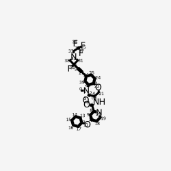 CN1C(=O)[C@H](NC(=O)c2cc(Oc3ccccc3)ccn2)COc2ccc(C#CC3(F)CN(CC(F)(F)F)C3)cc21